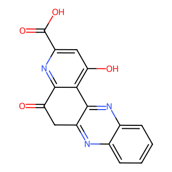 O=C(O)c1cc(O)c2c(n1)C(=O)Cc1nc3ccccc3nc1-2